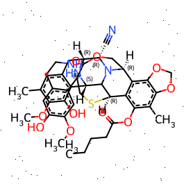 CCCCC(=O)Oc1c(C)c2c(c3c1[C@H]1SC[C@]4(NCCc5cc(O)c(OC)cc54)C(=O)OC[C@@H]3N3C1[C@H]1N[C@H](Cc4cc(C)c(OC)c(O)c41)[C@@H]3C#N)OCO2